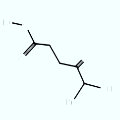 CCOC(=O)CCC(=O)C(C)Br